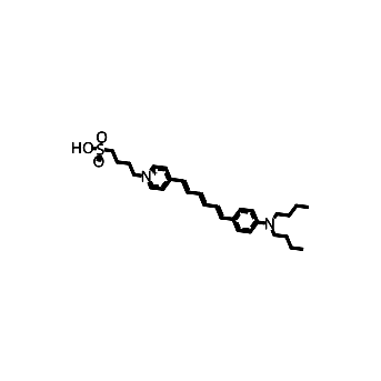 CCCCN(CCCC)c1ccc(C=CC=CC=Cc2cc[n+](CCCCS(=O)(=O)O)cc2)cc1